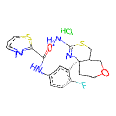 Cl.NC1=N[C@]2(c3cc(NC(=O)c4nccs4)ccc3F)CCOCC2CS1